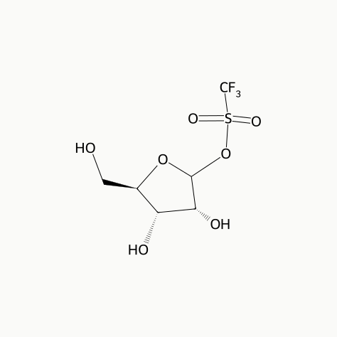 O=S(=O)(OC1O[C@H](CO)[C@@H](O)[C@H]1O)C(F)(F)F